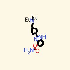 CCN(CC)CCc1ccc(-c2nc3c(OC(N)=O)cccc3[nH]2)cc1